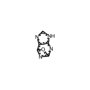 c1nc2c(nc3nc2o3)[nH]1